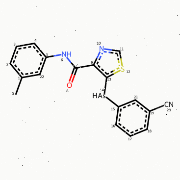 Cc1cccc(NC(=O)c2ncsc2[AsH]c2cccc(C#N)c2)c1